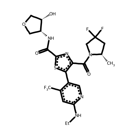 CCNc1cc(C(F)(F)F)c(-c2sc(C(=O)N[C@@H]3COC[C@@H]3O)nc2C(=O)N2CC(F)(F)C[C@@H]2C)cn1